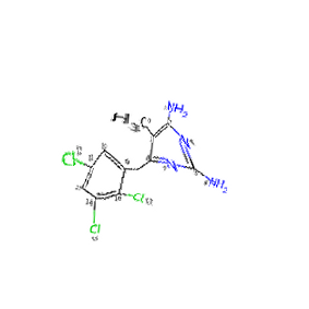 Cc1c(N)nc(N)nc1-c1cc(Cl)cc(Cl)c1Cl